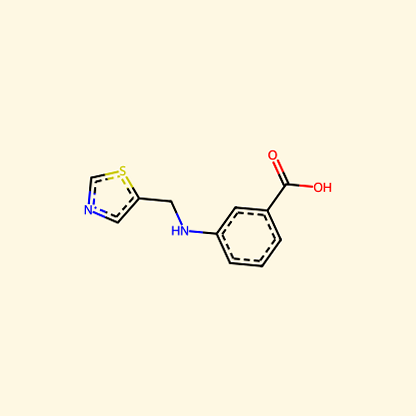 O=C(O)c1cccc(NCc2cncs2)c1